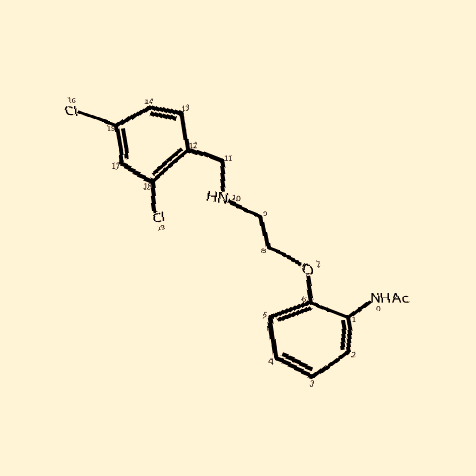 CC(=O)Nc1ccccc1OCCNCc1ccc(Cl)cc1Cl